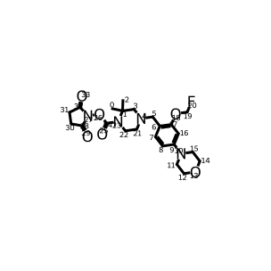 CC1(C)CN(Cc2ccc(N3CCOCC3)cc2OCF)CCN1C(=O)ON1C(=O)CCC1=O